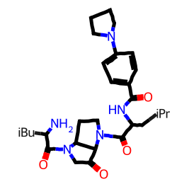 CCC(C)C(N)C(=O)N1CC(=O)C2C1CCN2C(=O)C(CC(C)C)NC(=O)c1ccc(N2CCCC2)cc1